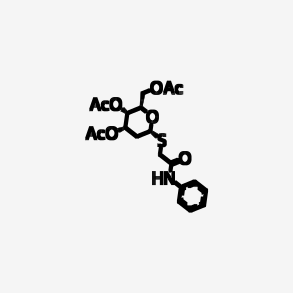 CC(=O)OC[C@H]1O[C@@H](SCC(=O)Nc2ccccc2)C[C@@H](OC(C)=O)[C@H]1OC(C)=O